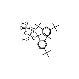 CC(C)(C)c1ccc(C(C)(OP(=O)(O)OP(=O)(O)O)c2ccc(C(C)(C)C)cc2C(C)(C)C)c(C(C)(C)C)c1